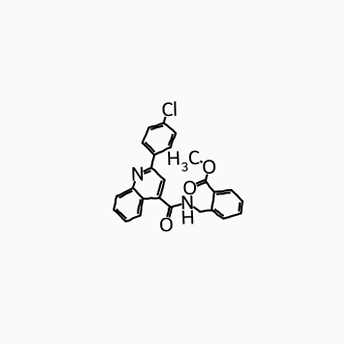 COC(=O)c1ccccc1CNC(=O)c1cc(-c2ccc(Cl)cc2)nc2ccccc12